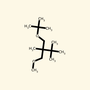 COCC(C)(COC(C)(C)C)C(C)(C)C